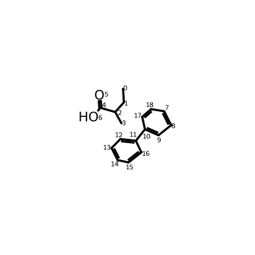 CCC(C)C(=O)O.c1ccc(-c2ccccc2)cc1